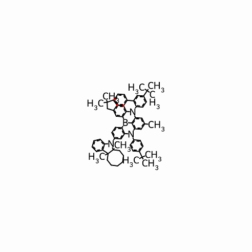 Cc1cc2c3c(c1)N(c1ccc(C(C)(C)C)cc1-c1ccccc1)c1cc4c(cc1B3c1ccc(N3c5ccccc5C5(C)CCCCCCC35C)cc1N2c1ccc(C(C)(C)C)cc1)CC(C)(C)C4